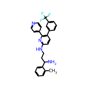 Cc1ccccc1C(N)CCNc1ccc(-c2cccc(C(F)(F)F)c2)c(-c2ccncc2)n1